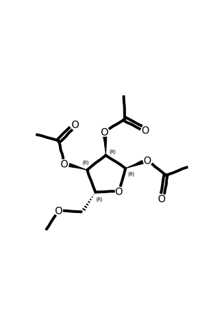 COC[C@H]1O[C@H](OC(C)=O)[C@H](OC(C)=O)[C@@H]1OC(C)=O